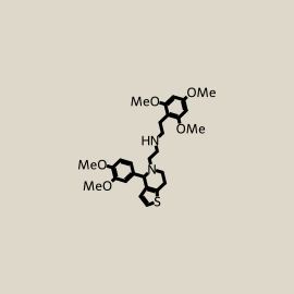 COc1cc(OC)c(CCNCCN2CCc3sccc3C2c2ccc(OC)c(OC)c2)c(OC)c1